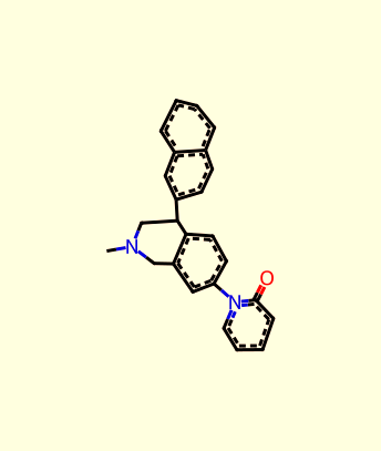 CN1Cc2cc(-n3ccccc3=O)ccc2C(c2ccc3ccccc3c2)C1